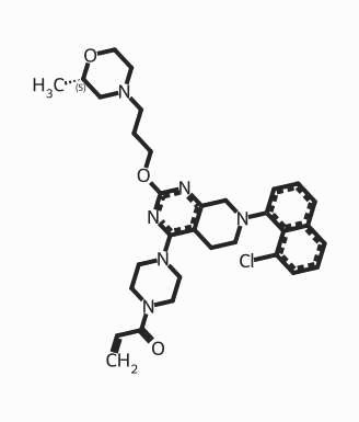 C=CC(=O)N1CCN(c2nc(OCCCN3CCO[C@@H](C)C3)nc3c2CCN(c2cccc4cccc(Cl)c24)C3)CC1